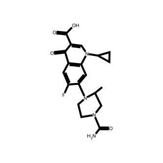 CC1CN(C(N)=O)CCN1c1cc2c(cc1F)c(=O)c(C(=O)O)cn2C1CC1